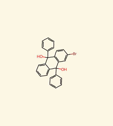 OC1(c2ccccc2)c2ccccc2C(O)(c2ccccc2)c2cc(Br)ccc21